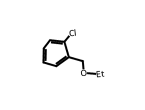 [CH2]COCc1ccccc1Cl